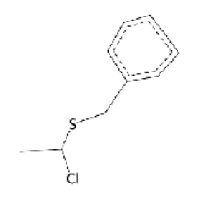 CC(Cl)SCc1ccccc1